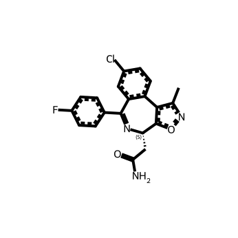 Cc1noc2c1-c1ccc(Cl)cc1C(c1ccc(F)cc1)=N[C@H]2CC(N)=O